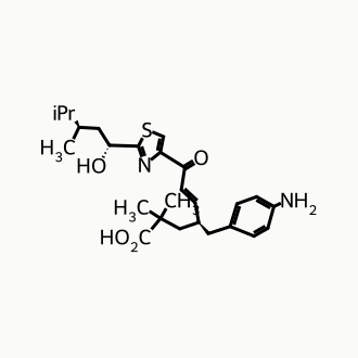 CC(C)[C@H](C)C[C@@H](O)c1nc(C(=O)/C=C/[C@@H](Cc2ccc(N)cc2)CC(C)(C)C(=O)O)cs1